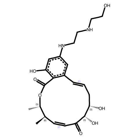 C[C@@H]1/C=C\C(=O)[C@@H](O)[C@@H](O)C/C=C/c2cc(NCCNCCO)cc(O)c2C(=O)O[C@H]1C